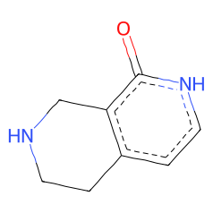 O=c1[nH]ccc2c1CNCC2